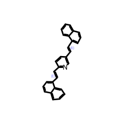 C(=C\c1cccc2ccccc12)/c1ccc(/C=C/c2cccc3ccccc23)nc1